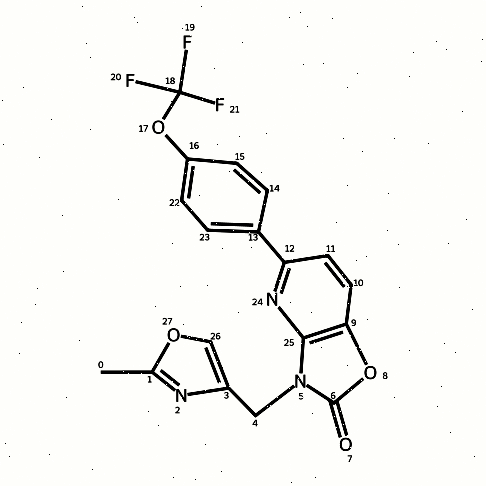 Cc1nc(Cn2c(=O)oc3ccc(-c4ccc(OC(F)(F)F)cc4)nc32)co1